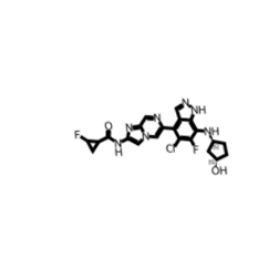 O=C(Nc1cn2cc(-c3c(Cl)c(F)c(N[C@H]4CC[C@H](O)C4)c4[nH]ncc34)ncc2n1)C1CC1F